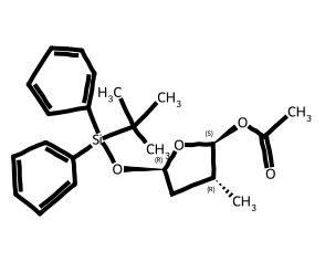 CC(=O)O[C@@H]1O[C@H](O[Si](c2ccccc2)(c2ccccc2)C(C)(C)C)C[C@H]1C